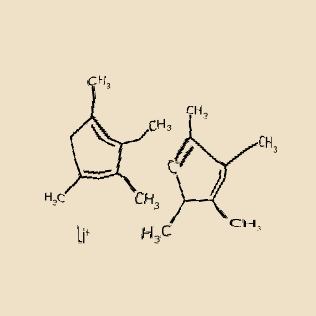 CC1=C(C)C(C)=C(C)C1.CC1=[C-]C(C)C(C)=C1C.[Li+]